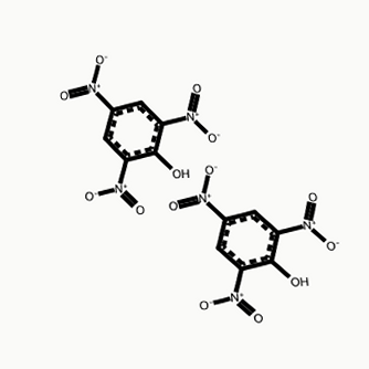 O=[N+]([O-])c1cc([N+](=O)[O-])c(O)c([N+](=O)[O-])c1.O=[N+]([O-])c1cc([N+](=O)[O-])c(O)c([N+](=O)[O-])c1